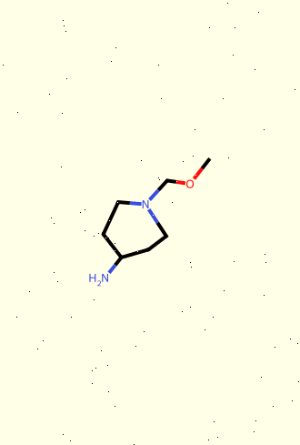 COCN1CCC(N)CC1